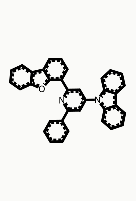 c1ccc(-c2cc(-n3c4ccccc4c4ccccc43)cc(-c3cccc4c3oc3ccccc34)n2)cc1